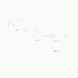 NC1(C(=O)NCc2ccc(Nc3ccc(F)cc3C(F)(F)F)cn2)C=C1